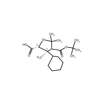 CC(C)(C)OC(=O)N1C(C)(C)O[C@@H](C(=O)O)[C@]1(C)C1CCCCC1